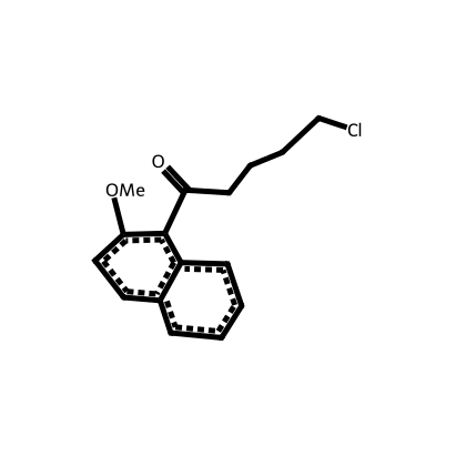 COc1ccc2ccccc2c1C(=O)CCCCCl